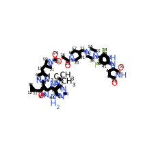 CC(C)(C)n1nc(-c2noc(C3CC3)c2-c2ncc(CC3CN(C(=O)OCC(=O)N4CCC(CN5CCN(c6c(F)cc(NC7CCC(=O)NC7=O)cc6F)CC5)CC4)C3)cn2)c2c(N)ncnc21